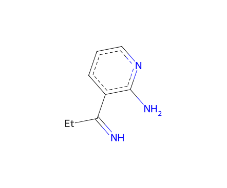 CCC(=N)c1cccnc1N